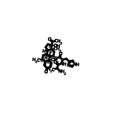 CC(=O)[C@@]1(O)CC[C@H]2[C@@H]3C[C@H](C)C4=CC(=O)C=C[C@]4(C)[C@@]3(F)[C@@H](OC(=O)C(Cc3c[nH]cn3)NC(=O)C(C)N)C[C@@]21C